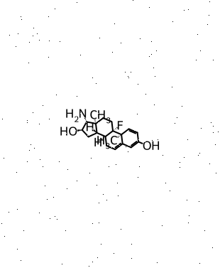 C[C@]12CC[C@]3(F)[C@@H](CC=C4C=C(O)C=C[C@@]43C)[C@@H]1C[C@@H](O)[C@@H]2N